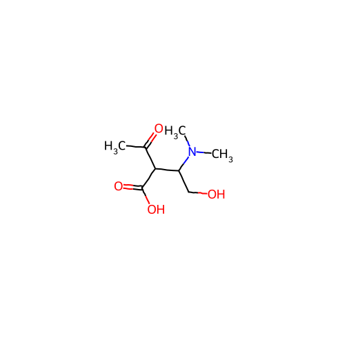 CC(=O)C(C(=O)O)C(CO)N(C)C